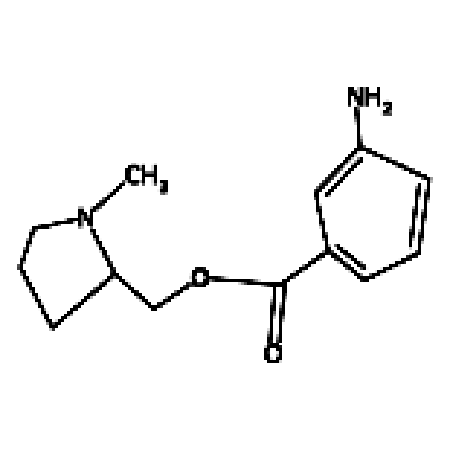 CN1CCCC1COC(=O)c1cccc(N)c1